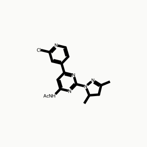 CC(=O)Nc1cc(-c2ccnc(Cl)c2)nc(N2N=C(C)CC2C)n1